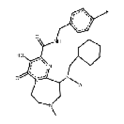 CC(=O)N(CC1CCCCC1)C1CN(C)CCn2c1nc(C(=O)NCc1ccc(F)cc1)c(O)c2=O